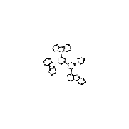 c1ccc(-c2cc(-c3cc(-n4c5ccccc5c5ccccc54)cc(-n4c5ccccc5c5ccccc54)c3)nc(-c3cccc4c3oc3ccccc34)n2)cc1